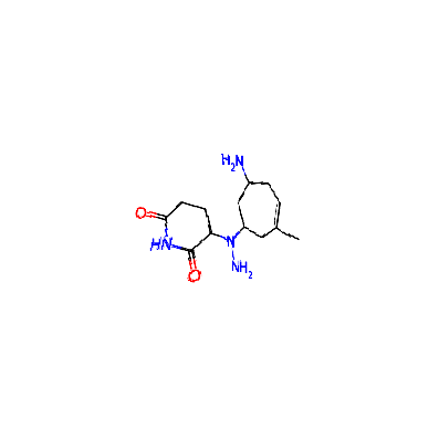 CC1=CCC(N)CC(N(N)C2CCC(=O)NC2=O)C1